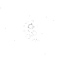 COc1cccc(C2(O)c3ccccc3-c3[nH]c(=O)c4c(c32)CCC=C4)c1